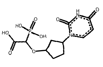 O=C(O)C(OC1CCC(n2ccc(=O)[nH]c2=O)C1)P(=O)(O)O